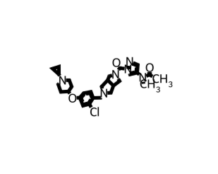 CC(=O)N(C)c1cnn(C(=O)N2CC3CN(Cc4ccc(OC5CCN(C6CC6)CC5)cc4Cl)CC3C2)c1